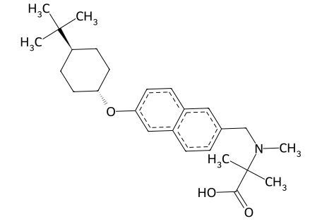 CN(Cc1ccc2cc(O[C@H]3CC[C@H](C(C)(C)C)CC3)ccc2c1)C(C)(C)C(=O)O